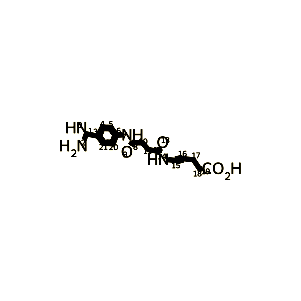 N=C(N)c1ccc(NC(=O)CCC(=O)NC#CCCC(=O)O)cc1